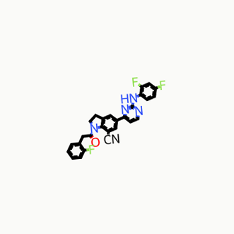 N#Cc1cc(-c2ccnc(Nc3ccc(F)cc3F)n2)cc2c1N(C(=O)Cc1ccccc1F)CC2